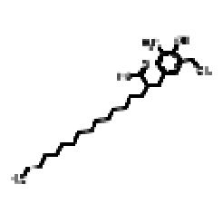 CCCCCCCCCCCCCCCC(Cc1cc(C)c(O)c(CC)c1)C(=O)O